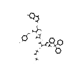 COc1ccc(COC(=O)C2=C(CSc3cc(=O)c4ccc(F)cc4s3)CS[C@H]3C(NC(=O)/C(=N\OC(C)(C)C(=O)OC(C)(C)C)c4csc(NC(c5ccccc5)(c5ccccc5)c5ccccc5)n4)C(=O)N23)cc1